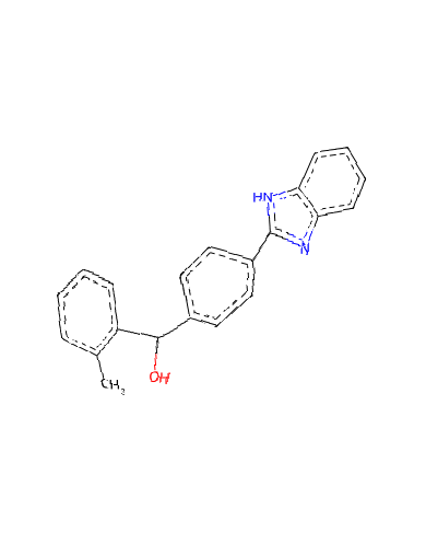 Cc1ccccc1C(O)c1ccc(-c2nc3ccccc3[nH]2)cc1